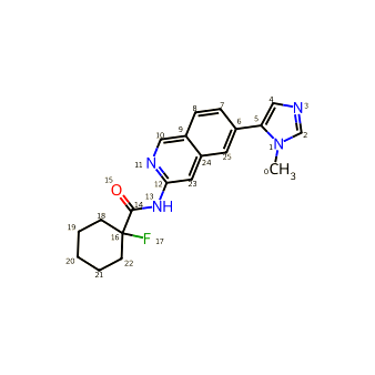 Cn1cncc1-c1ccc2cnc(NC(=O)C3(F)CCCCC3)cc2c1